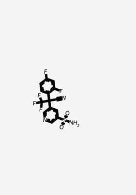 N#CC(c1cncc(S(N)(=O)=O)c1)(c1ccc(F)cc1F)C(F)(F)F